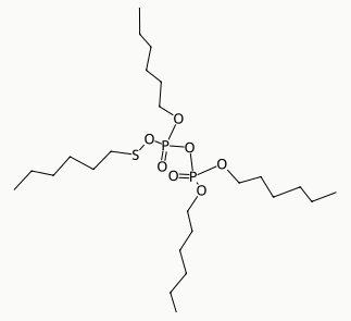 CCCCCCOP(=O)(OCCCCCC)OP(=O)(OCCCCCC)OSCCCCCC